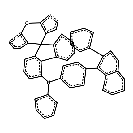 c1ccc(-c2ccc3ccccc3c2-c2ccc(N(c3ccccc3)c3cccc4c3-c3ccccc3C43c4ccccc4Oc4ccccc43)cc2)cc1